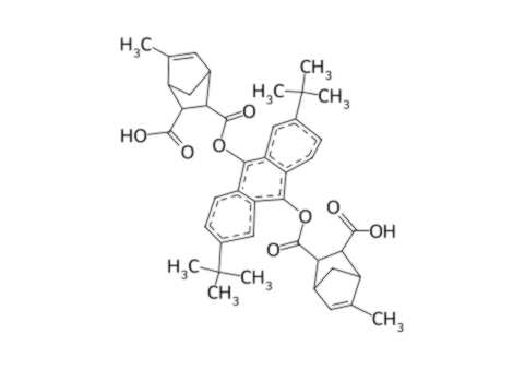 CC1=CC2CC1C(C(=O)O)C2C(=O)Oc1c2ccc(C(C)(C)C)cc2c(OC(=O)C2C3C=C(C)C(C3)C2C(=O)O)c2ccc(C(C)(C)C)cc12